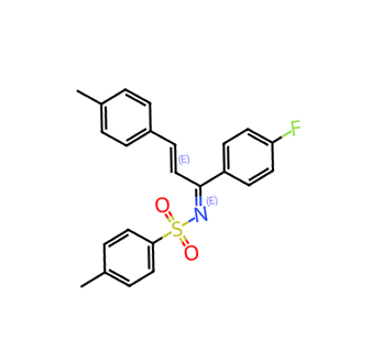 Cc1ccc(/C=C/C(=N\S(=O)(=O)c2ccc(C)cc2)c2ccc(F)cc2)cc1